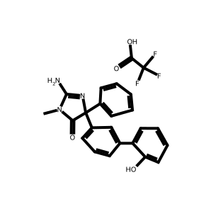 CN1C(=O)C(c2ccccc2)(c2cccc(-c3ccccc3O)c2)N=C1N.O=C(O)C(F)(F)F